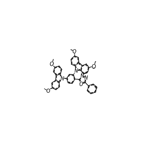 COc1ccc2c(c1)c1cc(OC)ccc1n2-c1ccc(-c2nnc(-c3ccccc3)o2)c(-n2c3ccc(OC)cc3c3cc(OC)ccc32)c1